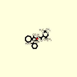 CCCCCCCCC1(N(C(N)=O)C2(C(CNC(=O)C3OC(C)(C)OCC3(C)C)C(=O)O)CCCCCC2)CCCCC1